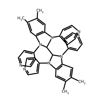 Cc1cc2c(cc1C)N(c1ccncc1)C(C1N(c3ccncc3)c3cc(C)c(C)cc3N1c1ccncc1)N2c1ccncc1